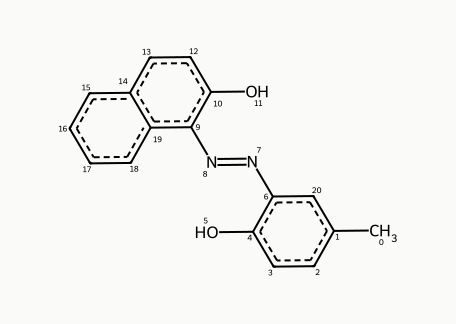 Cc1ccc(O)c(N=Nc2c(O)ccc3ccccc23)c1